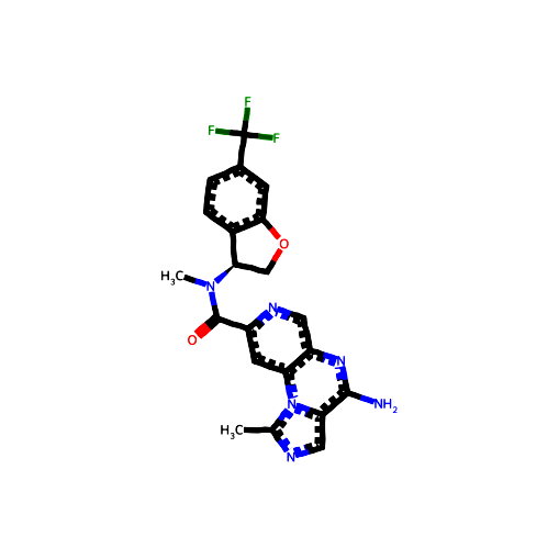 Cc1ncc2c(N)nc3cnc(C(=O)N(C)[C@@H]4COc5cc(C(F)(F)F)ccc54)cc3n12